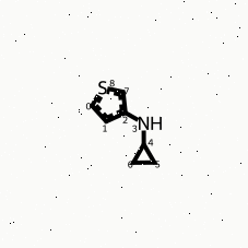 c1cc(NC2CC2)cs1